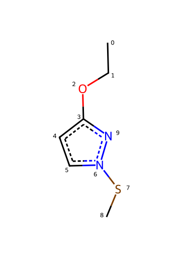 CCOc1ccn(SC)n1